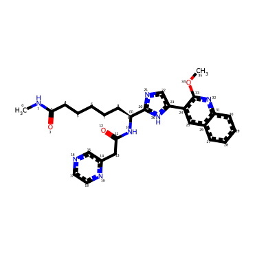 CNC(=O)CCCCC[C@H](NC(=O)Cc1cnccn1)c1ncc(-c2cc3ccccc3nc2OC)[nH]1